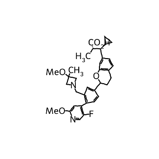 COc1cc(-c2ccc(C3CCc4ccc([C@H](C5CC5)[C@H](C)C(=O)O)cc4O3)cc2CN2CC(C)(OC)C2)c(F)cn1